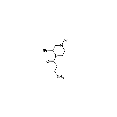 CC(C)C1CN(C(C)C)CCN1C(=O)CCN